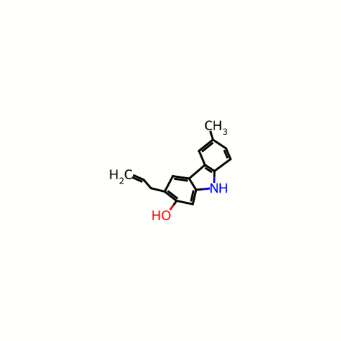 C=CCc1cc2c(cc1O)[nH]c1ccc(C)cc12